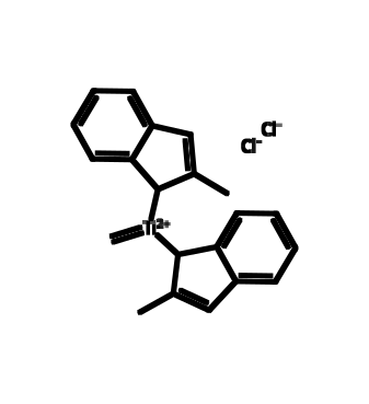 [CH2]=[Ti+2]([CH]1C(C)=Cc2ccccc21)[CH]1C(C)=Cc2ccccc21.[Cl-].[Cl-]